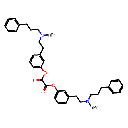 CCCN(CCCc1ccccc1)CCc1cccc(OC(=O)C(=O)Oc2cccc(CCN(CCC)CCCc3ccccc3)c2)c1